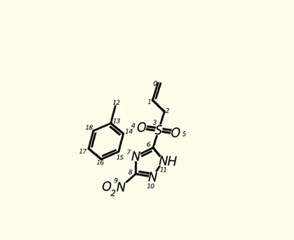 C=CCS(=O)(=O)c1nc([N+](=O)[O-])n[nH]1.Cc1ccccc1